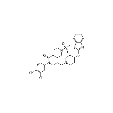 CS(=O)(=O)N1CCC(C(=O)N(CCCN2CCC(Sc3nc4ccccc4s3)CC2)c2ccc(Cl)c(Cl)c2)CC1